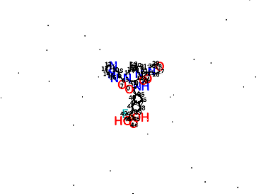 O=C(N[C@H]1CN(C(=O)c2cc3ncccn3n2)CC[C@H]2CC[C@@H](C(=O)N3CCOCC3)N2C1=O)c1ccc2ccc(C(F)P(=O)(O)O)cc2c1